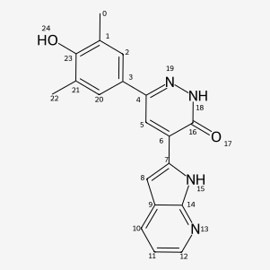 Cc1cc(-c2cc(-c3cc4cccnc4[nH]3)c(=O)[nH]n2)cc(C)c1O